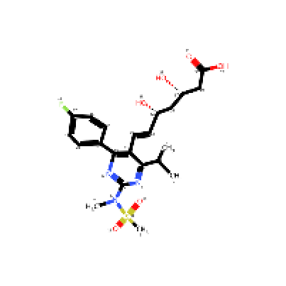 CC(C)c1nc(N(C)S(C)(=O)=O)nc(-c2ccc(F)cc2)c1/C=C/[C@H](O)C[C@H](O)CC(=O)O